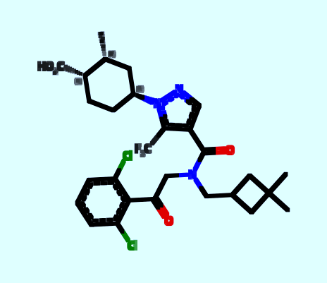 C[C@@H]1C[C@@H](n2ncc(C(=O)N(CC(=O)c3c(Cl)cccc3Cl)CC3CC(C)(C)C3)c2C(F)(F)F)CC[C@@H]1C(=O)O